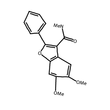 CNC(=O)c1c(-c2ccccc2)oc2cc(OC)c(OC)cc12